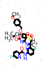 COc1ccc(COC2CC3(C2)/C(=N\C(=O)OC(C)(C)C)N[C@](C)(c2cc(NC(=O)c4ccc(F)cn4)ccc2F)CS3(=O)=O)cc1